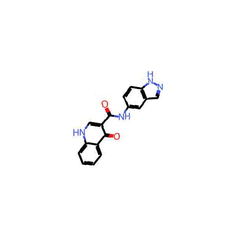 O=C(Nc1ccc2[nH]ncc2c1)c1c[nH]c2ccccc2c1=O